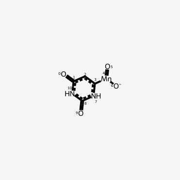 O=c1c[c]([Mn](=[O])[O-])[nH]c(=O)[nH]1